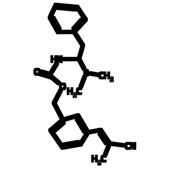 CB(C)C(Cc1ccccc1)NC(=O)OCc1cccc(C=C(C)C#N)c1